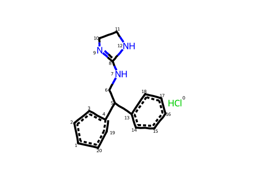 Cl.c1ccc(C(CNC2=NCCN2)c2ccccc2)cc1